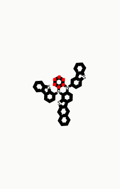 c1ccc(N(c2ccc3sc4ccccc4c3c2)c2ccc3c(sc4cc5ccccc5cc43)c2N(c2ccccc2)c2cccc3c2sc2ccccc23)cc1